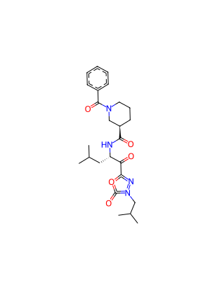 CC(C)C[C@H](NC(=O)[C@@H]1CCCN(C(=O)c2ccccc2)C1)C(=O)c1nn(CC(C)C)c(=O)o1